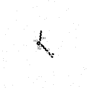 CCCCCC(O)C=C[C@H]1C(O)CC(O)[C@@H]1CC=CCCCC(=O)OCCN(CC)CC.[Na]